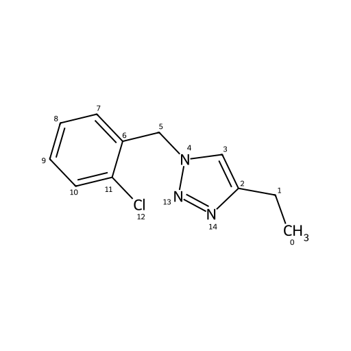 CCc1cn(Cc2ccccc2Cl)nn1